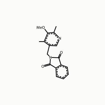 COc1c(C)ncc(CN2C(=O)c3ccccc3C2=O)c1C